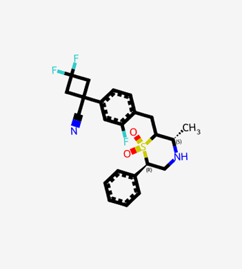 C[C@@H]1NC[C@@H](c2ccccc2)S(=O)(=O)C1Cc1ccc(C2(C#N)CC(F)(F)C2)cc1F